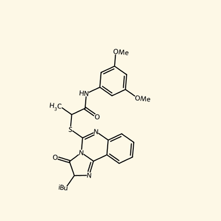 CCC(C)C1N=C2c3ccccc3N=C(SC(C)C(=O)Nc3cc(OC)cc(OC)c3)N2C1=O